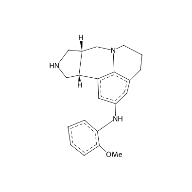 COc1ccccc1Nc1cc2c3c(c1)[C@@H]1CNC[C@@H]1CN3CCC2